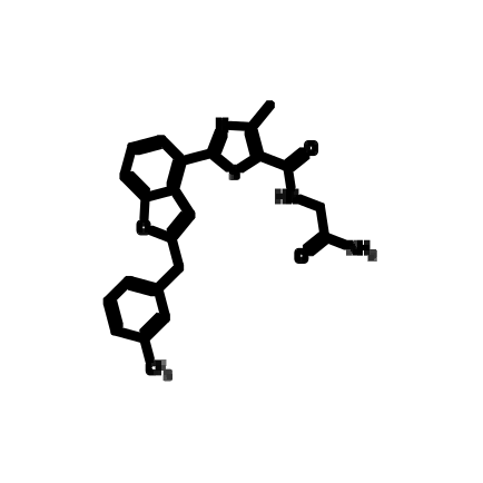 Cc1nc(-c2cccc3oc(Cc4cccc(C(F)(F)F)c4)cc23)sc1C(=O)NCC(N)=O